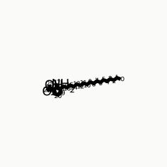 CCCCCCCCCCCCCCCCCCc1cccc(C(=O)O)c1N